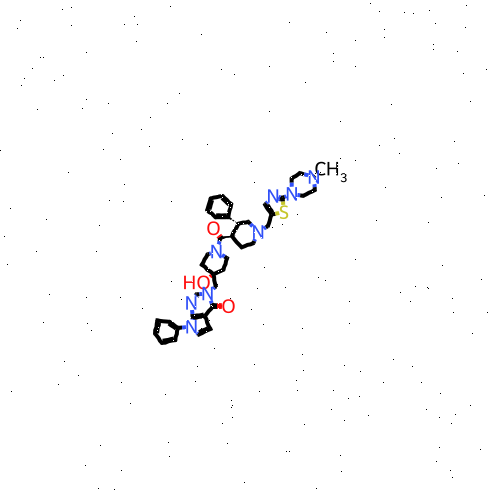 CN1CCN(c2ncc(CN3CC[C@@H](C(=O)N4CCC(O)(Cn5cnc6c(ccn6-c6ccccc6)c5=O)CC4)[C@H](c4ccccc4)C3)s2)CC1